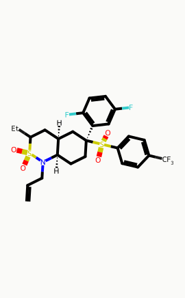 C=CCN1[C@@H]2CC[C@](c3cc(F)ccc3F)(S(=O)(=O)c3ccc(C(F)(F)F)cc3)C[C@@H]2CC(CC)S1(=O)=O